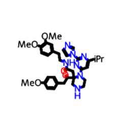 COc1ccc(CC(=O)C2(CC(=O)NCCc3ccc(OC)c(OC)c3)CNCCN2c2cc(C(C)C)nc(-n3ccnc3)n2)cc1